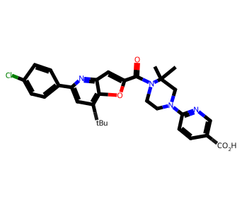 CC(C)(C)c1cc(-c2ccc(Cl)cc2)nc2cc(C(=O)N3CCN(c4ccc(C(=O)O)cn4)CC3(C)C)oc12